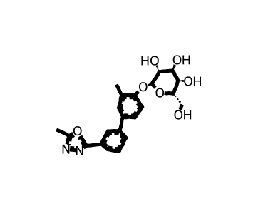 Cc1nnc(-c2cccc(-c3ccc(O[C@H]4O[C@@H](CO)[C@@H](O)[C@H](O)[C@H]4O)c(C)c3)c2)o1